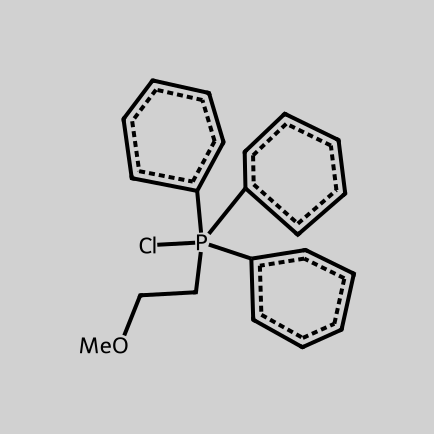 COCCP(Cl)(c1ccccc1)(c1ccccc1)c1ccccc1